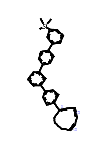 C[Si](C)(C)c1cccc(-c2ccc(-c3cccc(-c4ccc(/C5=C/C=C\C=C/CCC5)cc4)c3)cc2)c1